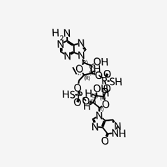 CC[C@@]12COP(=O)(S)O[C@@H]3[C@H](O)[C@H](O[C@H]3n3cnc4c(=O)[nH]ncc43)OP(=O)(S)O[C@H]1[C@@H](O)[C@H](n1cnc3c(N)ncnc31)O2